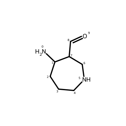 NC1CCCNCC1C=O